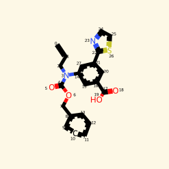 C=CCN(C(=O)OCc1ccccc1)c1cc(C(=O)O)cc(-c2nccs2)c1